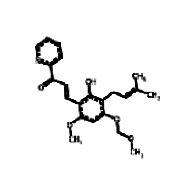 COCOc1cc(OC)c(C=CC(=O)c2ccccn2)c(O)c1CC=C(C)C